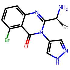 CC[C@H](N)c1nc2cccc(Br)c2c(=O)n1-c1cn[nH]c1